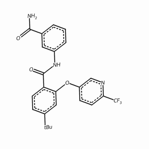 CC(C)(C)c1ccc(C(=O)Nc2cccc(C(N)=O)c2)c(Oc2ccc(C(F)(F)F)nc2)c1